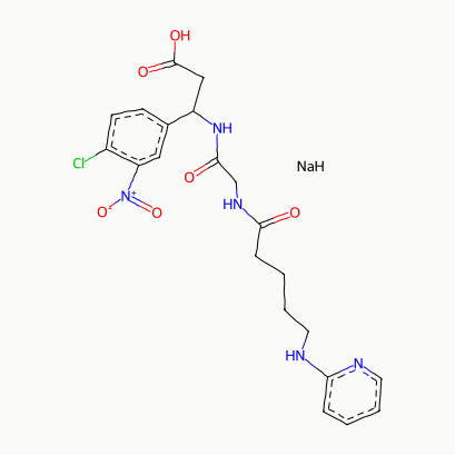 O=C(O)CC(NC(=O)CNC(=O)CCCCNc1ccccn1)c1ccc(Cl)c([N+](=O)[O-])c1.[NaH]